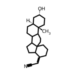 C[C@]12CC[C@@H](O)C[C@@H]1CCC1C3CCC4/C(=C\C#N)CCCC43CCC12